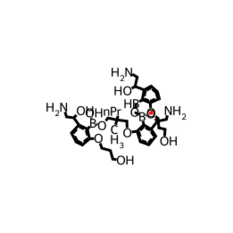 CCCC(C)(COB(O)c1c(OCCCO)cccc1C(O)CN)COc1cccc2c1B(OBc1c(OCCCO)cccc1C(O)CN)OC2CN